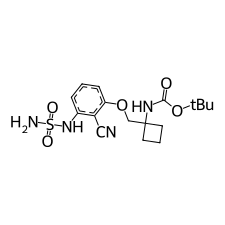 CC(C)(C)OC(=O)NC1(COc2cccc(NS(N)(=O)=O)c2C#N)CCC1